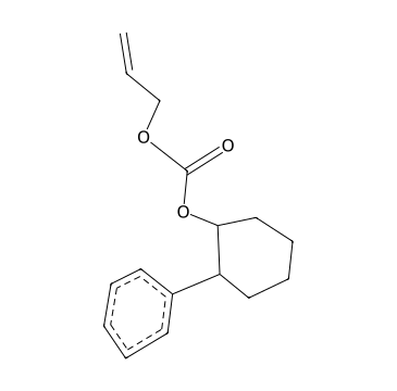 C=CCOC(=O)OC1CCCCC1c1ccccc1